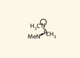 CNC#CP(C)CCN1CCCCCC1C